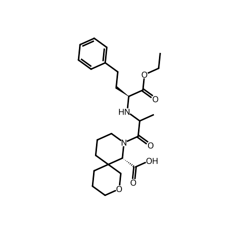 CCOC(=O)[C@H](CCc1ccccc1)NC(C)C(=O)N1CCCC2(CCCOC2)[C@H]1C(=O)O